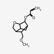 C=CC(=O)OC1C2CC3C(COC31)C2COC